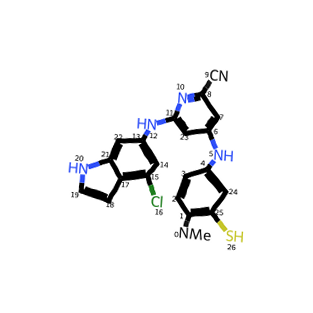 CNc1ccc(Nc2cc(C#N)nc(Nc3cc(Cl)c4cc[nH]c4c3)c2)cc1S